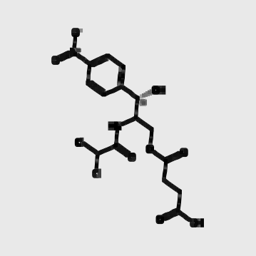 O=C(O)CCC(=O)OCC(NC(=O)C(Cl)Cl)[C@@H](O)c1ccc([N+](=O)[O-])cc1